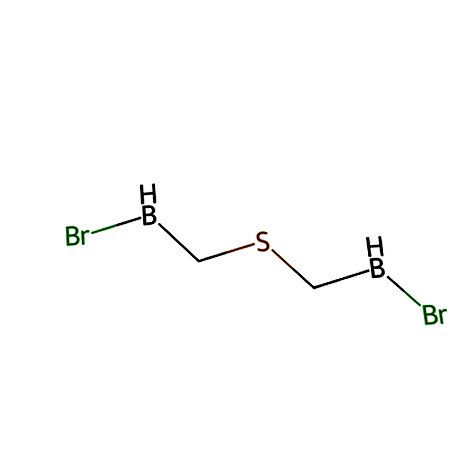 BrBCSCBBr